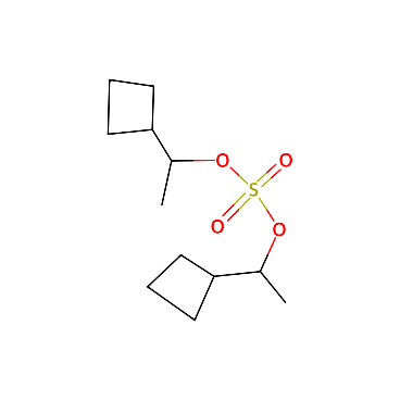 CC(OS(=O)(=O)OC(C)C1CCC1)C1CCC1